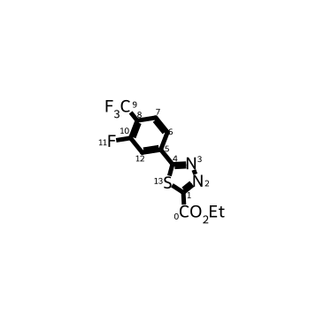 CCOC(=O)c1nnc(-c2ccc(C(F)(F)F)c(F)c2)s1